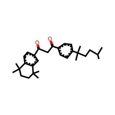 CC(C)CCC(C)(C)c1ccc(C(=O)CC(=O)c2ccc3c(c2)C(C)(C)CCC3(C)C)cc1